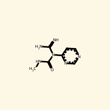 CNC(=O)N(C(=N)N)c1ccncn1